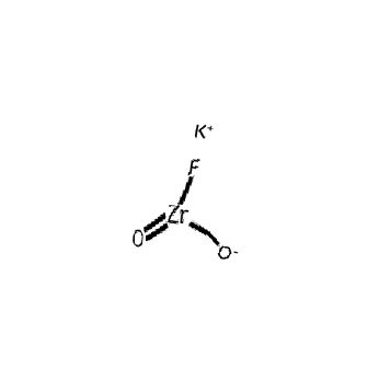 [K+].[O]=[Zr]([O-])[F]